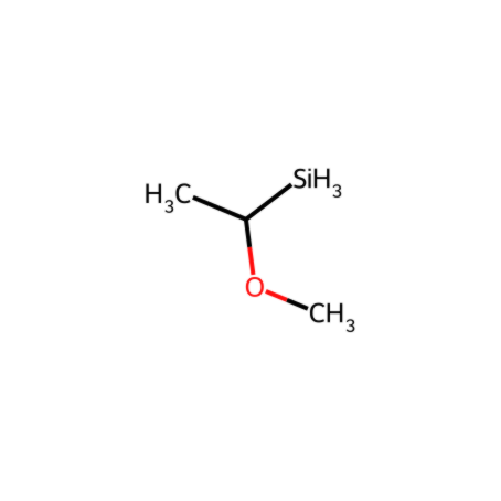 COC(C)[SiH3]